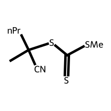 CCCC(C)(C#N)SC(=S)SC